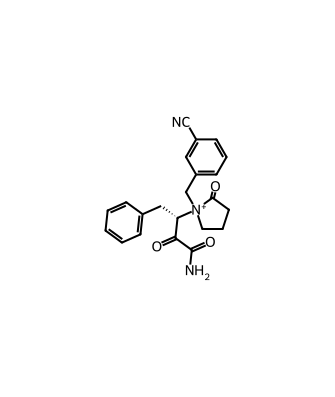 N#Cc1cccc(C[N+]2([C@@H](Cc3ccccc3)C(=O)C(N)=O)CCCC2=O)c1